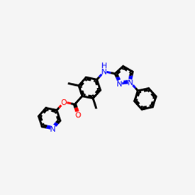 Cc1cc(Nc2ccn(-c3ccccc3)n2)cc(C)c1C(=O)Oc1cccnc1